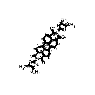 Cc1nc(N2C(=O)c3ccc4c5ccc6c7c(ccc(c8ccc(c3c48)C2=O)c75)C(=O)N(c2nc(C)c(C)o2)C6=O)oc1C